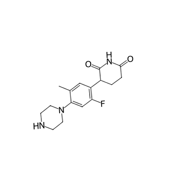 Cc1cc(C2CCC(=O)NC2=O)c(F)cc1N1CCNCC1